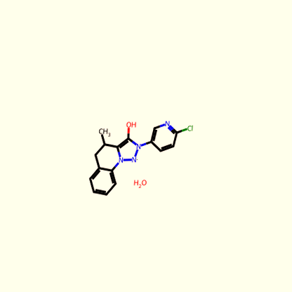 CC1Cc2ccccc2N2[N]N(c3ccc(Cl)nc3)C(O)=C12.O